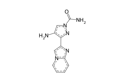 NC(=O)n1cc(N)c(-c2cn3ccccc3n2)n1